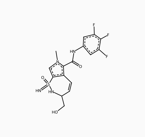 Cn1cc2c(c1C(=O)Nc1cc(F)c(F)c(F)c1)C=CC(CO)NS2(=N)=O